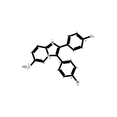 O=C(O)c1ccc2nc(-c3ccc(Cl)cc3)c(-c3ccc(Br)cc3)n2c1